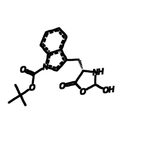 CC(C)(C)OC(=O)n1cc(C[C@@H]2NC(O)OC2=O)c2ccccc21